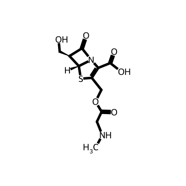 CNCC(=O)OCC1=C(C(=O)O)N2C(=O)[C@H](CO)[C@H]2S1